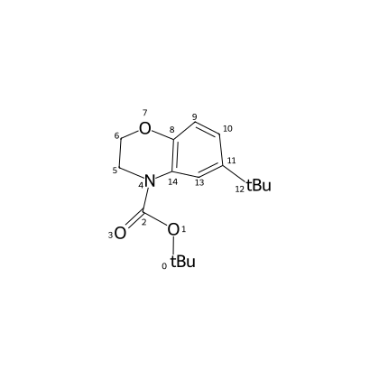 CC(C)(C)OC(=O)N1CCOc2ccc(C(C)(C)C)cc21